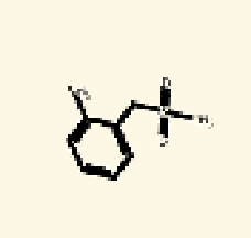 [CH2]S(=O)(=O)Cc1ccccc1C